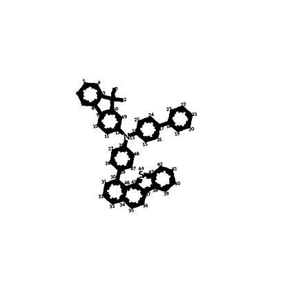 CC1(C)c2ccccc2-c2ccc(N(c3ccc(-c4ccccc4)cc3)c3ccc(-c4cccc5ccc6c7ccccc7sc6c45)cc3)cc21